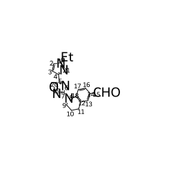 CCn1ccc(-c2nc(N3CCCc4cc(C=O)ccc43)no2)n1